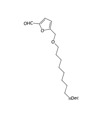 CCCCCCCCCCCCCCCCCCOCc1ccc(C=O)o1